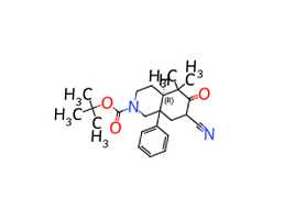 CC(C)(C)OC(=O)N1CC[C@H]2C(C)(C)C(=O)C(C#N)CC2(c2ccccc2)C1